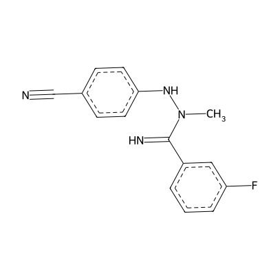 CN(Nc1ccc(C#N)cc1)C(=N)c1cccc(F)c1